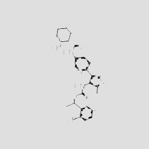 Cc1noc(-c2ccc(NC(=O)[C@H]3CCCC[C@@H]3C(=O)O)cn2)c1NC(=O)OC(C)c1ccccc1Cl